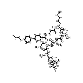 CCCCc1ccc(-c2ccc(C(=O)NCCC(=O)N[C@@H](CCCCN)C(=O)N[C@H](C(=O)N[C@@H](N)C(=O)N[C@@H](CCC(=O)O)C(=O)N[C@@H](N)B3OC4C[C@@H]5C[C@@H](C5(C)C)[C@]4(C)O3)[C@@H](C)O)cc2)cc1